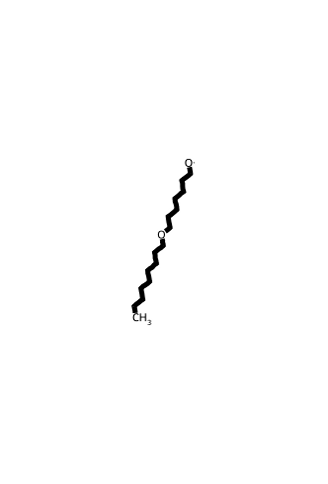 CCCCCCCCCOCCCCCCC[O]